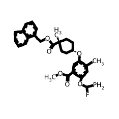 COC(=O)c1cc(O[C@H]2CC[C@@](C)(C(=O)OCc3cccc4ccccc34)CC2)c(C)cc1OC(F)P